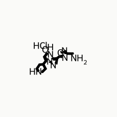 Cl.NCc1noc(-c2cnn3c(C4CCNCC4)cc(=O)[nH]c23)n1